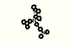 c1ccc(N(c2ccccc2)c2ccc(-c3ccc(N(c4ccc5c6ccccc6c6ccccc6c5c4)c4ccc(-c5cccc6c5sc5ccccc56)c5ccccc45)cc3)cc2)cc1